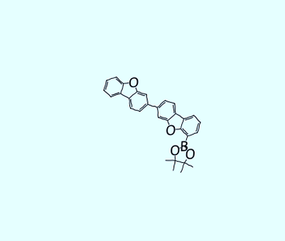 CC1(C)OB(c2cccc3c2oc2cc(-c4ccc5c(c4)oc4ccccc45)ccc23)OC1(C)C